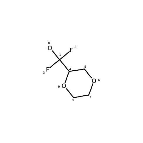 [O]C(F)(F)C1COCCO1